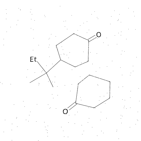 CCC(C)(C)C1CCC(=O)CC1.O=C1CCCCC1